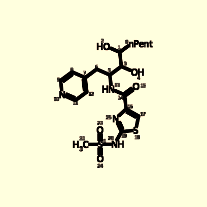 CCCCCC(O)C(O)C(Cc1ccncc1)NC(=O)c1csc(NS(C)(=O)=O)n1